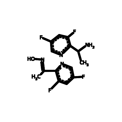 C/C(=N\O)c1ncc(F)cc1F.CC(N)c1ncc(F)cc1F